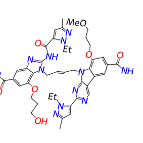 CCn1nc(C)cc1C(=O)Nc1nc2cc(C(N)=O)cc(OCCCO)c2n1CC=CCn1c2nc(-c3cc(C)nn3CC)ncc2c2cc(C(N)=O)cc(OCCCOC)c21